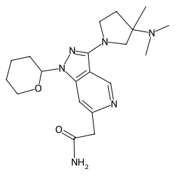 CN(C)C1(C)CCN(c2nn(C3CCCCO3)c3cc(CC(N)=O)ncc23)C1